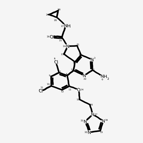 Nc1nc2c(c(-c3c(Cl)cc(Cl)cc3OCCn3ncnn3)n1)CN(C(=O)NC1CC1)C2